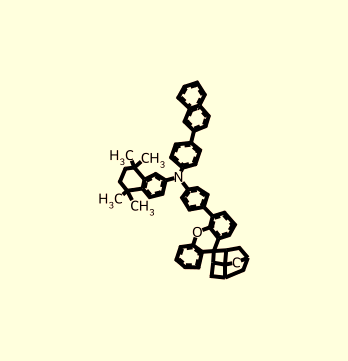 CC1(C)CCC(C)(C)c2cc(N(c3ccc(-c4ccc5ccccc5c4)cc3)c3ccc(-c4cccc5c4Oc4ccccc4C54C5CC6CC7CC4C75C6)cc3)ccc21